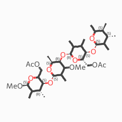 COC1C(C)[C@H](O[C@@H]2C(COC(C)=O)O[C@H](OC)C(C)[C@H]2C)O[C@@H](C)[C@H]1O[C@H]1O[C@@H](COC(C)=O)[C@@H](O[C@@H]2OC(C)[C@@H](C)[C@H](C)C2C)C(C)C1C